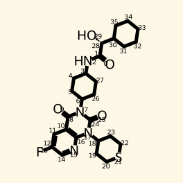 O=C(NC1CCC(n2c(=O)c3cc(F)cnc3n(C3CCSCC3)c2=O)CC1)[C@H](O)C1CCCCC1